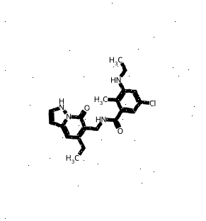 CCNc1cc(Cl)cc(C(=O)NCc2c(CC)cc3cc[nH]n3c2=O)c1C